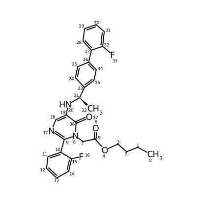 CCCCOC(=O)Cn1c(-c2ccccc2F)ncc(N[C@H](C)c2ccc(-c3ccccc3F)cc2)c1=O